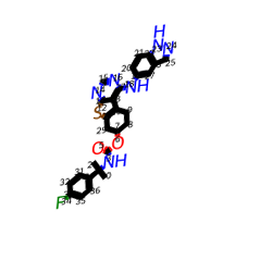 CC(C)(NC(=O)OC1CCc2c(sc3ncnc(Nc4ccc5[nH]ncc5c4)c23)C1)c1ccc(F)cc1